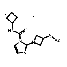 CC(=O)SC1CN(C2SC=CN2C(=O)NC2CCC2)C1